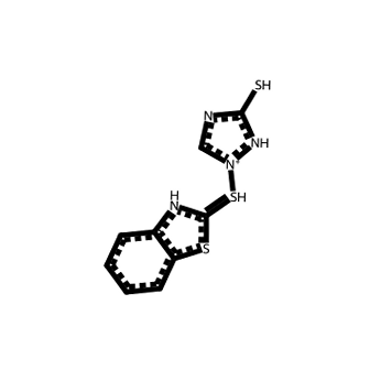 Sc1nc[n+](/[SH]=c2\[nH]c3ccccc3s2)[nH]1